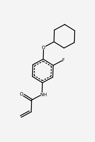 C=CC(=O)Nc1ccc(OC2CCCCC2)c(F)c1